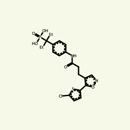 CCC(CC)(c1ccc(NC(=O)CCc2cnoc2-c2ccc(Cl)s2)cc1)P(=O)(O)O